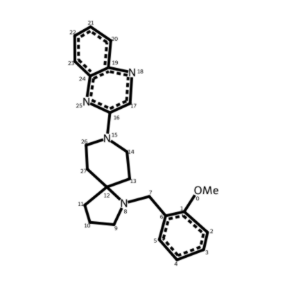 COc1ccccc1CN1CCCC12CCN(c1cnc3ccccc3n1)CC2